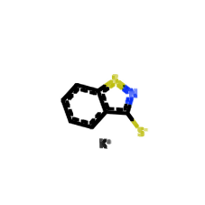 [K+].[S-]c1nsc2ccccc12